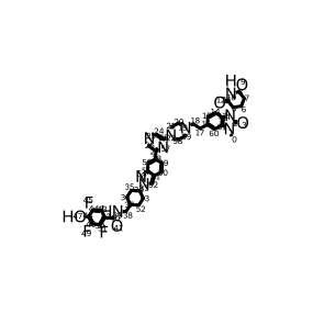 Cn1c(=O)n([C@@H]2CCC(=O)NC2=O)c2ccc(CCN3CCN(c4cncc(-c5ccc6cn(C7CCC(CNC(=O)c8cc(F)c(O)c(F)c8F)CC7)nc6c5)n4)CC3)cc21